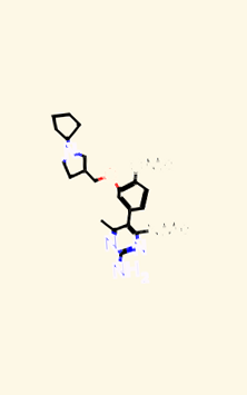 CNc1nc(N)nc(C)c1-c1ccc(OC)c(OCC2CCN(C3CCCC3)C2)c1